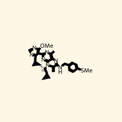 C=C1C(NCc2ccc(SC)cc2)=Nc2c(C)nc(-c3c(OC)ncnc3C3CC3)nc2N1[C@@H](C)C1CC1